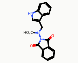 O=C(O)N(Cc1c[nH]c2ccccc12)N1C(=O)c2ccccc2C1=O